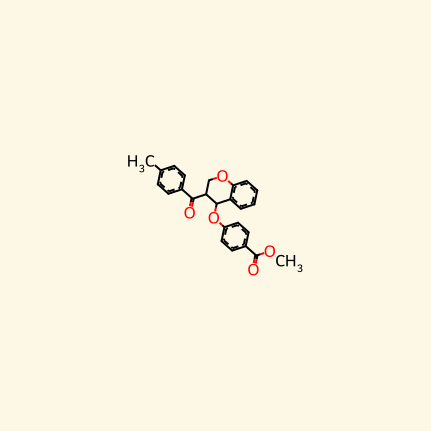 COC(=O)c1ccc(OC2c3ccccc3OCC2C(=O)c2ccc(C)cc2)cc1